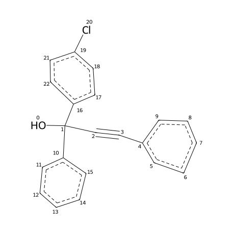 OC(C#Cc1ccccc1)(c1ccccc1)c1ccc(Cl)cc1